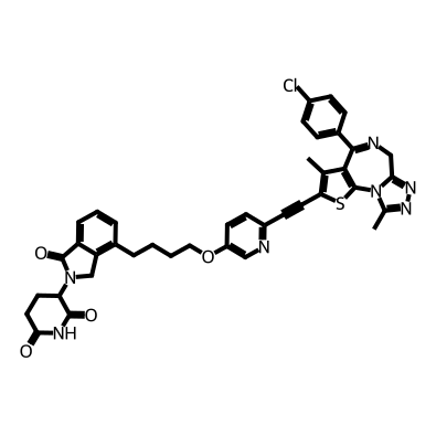 Cc1c(C#Cc2ccc(OCCCCc3cccc4c3CN(C3CCC(=O)NC3=O)C4=O)cn2)sc2c1C(c1ccc(Cl)cc1)=NCc1nnc(C)n1-2